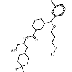 CCOCCCO[C@@H](c1cccc(C)c1)[C@@H]1CCCN(C(=O)N[C@H](CNC)CC2CCC(C)(F)CC2)C1